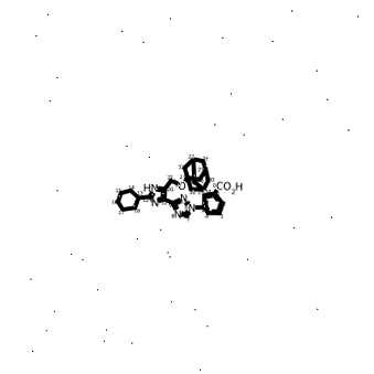 O=C(O)c1cccc(-n2cnc(-c3nc(C4CCCCC4)[nH]c3COC34CC5CC(CC(C5)C3)C4)n2)c1